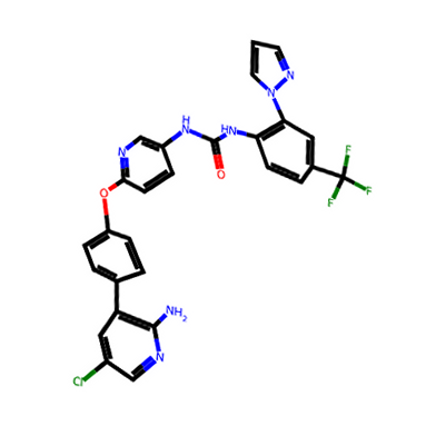 Nc1ncc(Cl)cc1-c1ccc(Oc2ccc(NC(=O)Nc3ccc(C(F)(F)F)cc3-n3cccn3)cn2)cc1